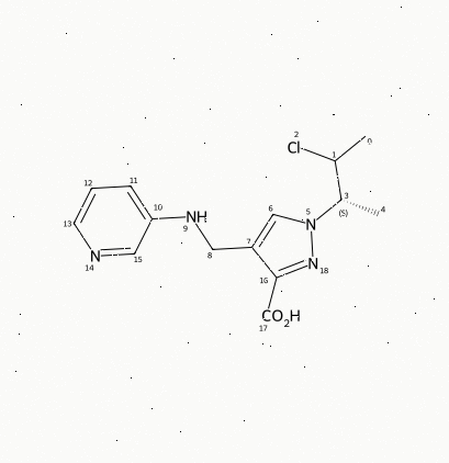 CC(Cl)[C@H](C)n1cc(CNc2cccnc2)c(C(=O)O)n1